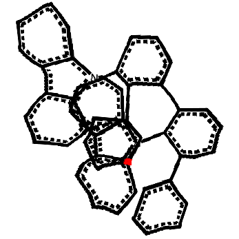 c1ccc(-c2cccc(-c3cccc(-n4c5ccccc5c5ccccc54)c3-c3ccccc3)c2-n2c3ccccc3c3ccccc32)cc1